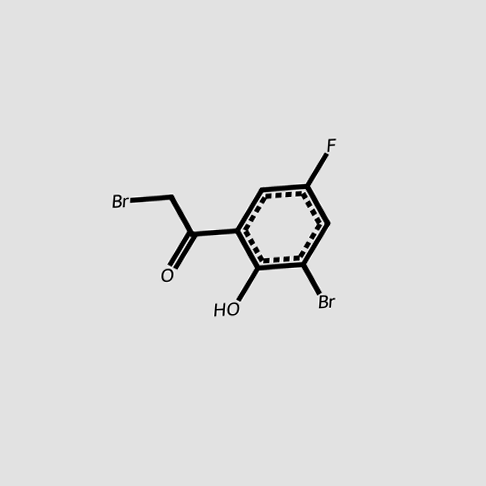 O=C(CBr)c1cc(F)cc(Br)c1O